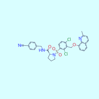 Cc1ccc2cccc(OCc3c(Cl)ccc(S(=O)(=O)N4CCC[C@H]4C(=O)NCc4ccc(C#N)cc4)c3Cl)c2n1